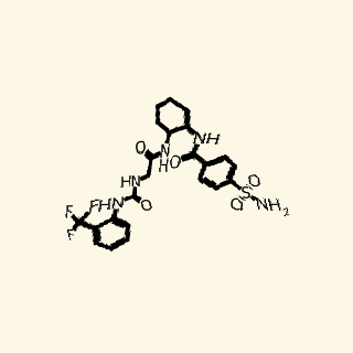 NS(=O)(=O)c1ccc(C(=O)NC2CCCCC2NC(=O)CNC(=O)Nc2ccccc2C(F)(F)F)cc1